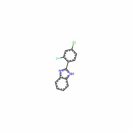 Fc1cc(Cl)ccc1-c1nc2ccccc2[nH]1